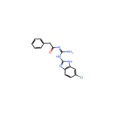 N/C(=N/C(=O)Cc1ccccc1)Nc1nc2ccc(Cl)cc2[nH]1